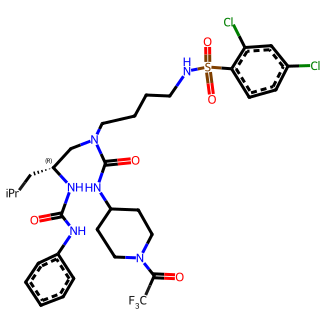 CC(C)C[C@H](CN(CCCCNS(=O)(=O)c1ccc(Cl)cc1Cl)C(=O)NC1CCN(C(=O)C(F)(F)F)CC1)NC(=O)Nc1ccccc1